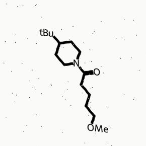 COCCCCC(=O)N1CCC(C(C)(C)C)CC1